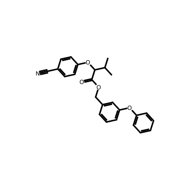 CC(C)C(Oc1ccc(C#N)cc1)C(=O)OCc1cccc(Oc2ccccc2)c1